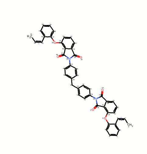 C/C=C\c1ccccc1Oc1cccc2c1C(=O)N(c1ccc(Cc3ccc(N4C(=O)c5cccc(Oc6ccccc6/C=C\C)c5C4=O)cc3)cc1)C2=O